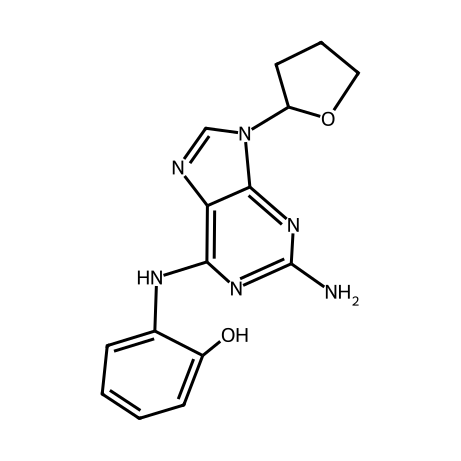 Nc1nc(Nc2ccccc2O)c2ncn(C3CCCO3)c2n1